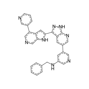 c1ccc(CNc2cncc(-c3cnc4[nH]nc(-c5cc6c(-c7cccnc7)cncc6[nH]5)c4c3)c2)cc1